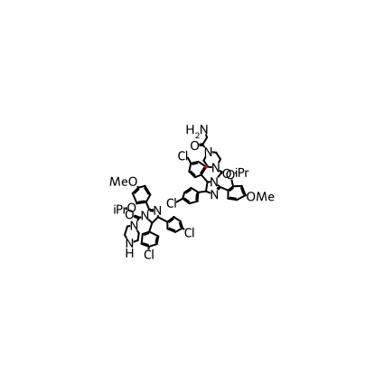 COc1ccc(C2=NC(c3ccc(Cl)cc3)C(c3ccc(Cl)cc3)N2C(=O)N2CCN(C(=O)CN)CC2)c(OC(C)C)c1.COc1ccc(C2=NC(c3ccc(Cl)cc3)C(c3ccc(Cl)cc3)N2C(=O)N2CCNCC2)c(OC(C)C)c1